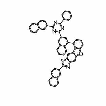 c1ccc(-c2nc(-c3ccc4ccccc4c3)nc(-c3cc(-c4cccc5oc6cc7nc(-c8ccc9ccccc9c8)sc7cc6c45)c4ccccc4c3)n2)cc1